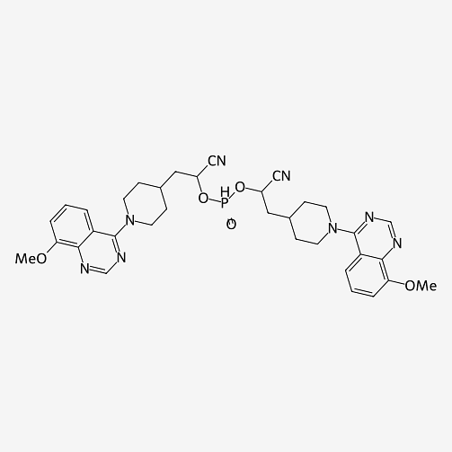 COc1cccc2c(N3CCC(CC(C#N)O[PH](=O)OC(C#N)CC4CCN(c5ncnc6c(OC)cccc56)CC4)CC3)ncnc12